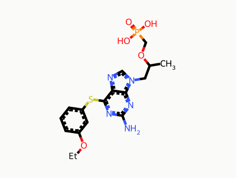 CCOc1cccc(Sc2nc(N)nc3c2ncn3CC(C)OCP(=O)(O)O)c1